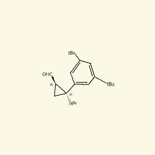 CCC[C@]1(c2cc(C(C)(C)C)cc(C(C)(C)C)c2)C[C@H]1C=O